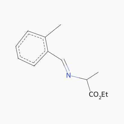 CCOC(=O)C(C)N=Cc1ccccc1C